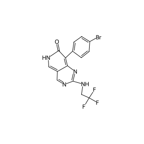 O=c1[nH]cc2cnc(NCC(F)(F)F)nc2c1-c1ccc(Br)cc1